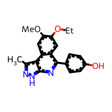 CCOc1cc2c(-c3ccc(O)cc3)nc3[nH]nc(C)c3c2cc1OC